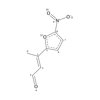 CC(=CC=O)c1ccc([N+](=O)[O-])o1